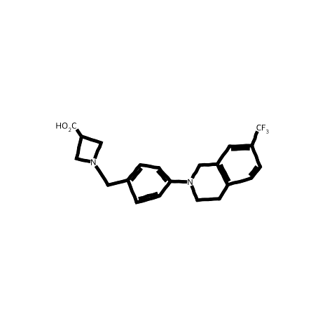 O=C(O)C1CN(Cc2ccc(N3CCc4ccc(C(F)(F)F)cc4C3)cc2)C1